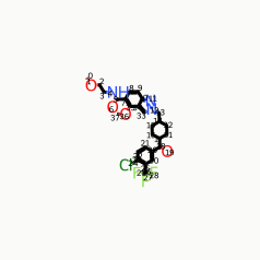 COCCNC(=O)c1ccc2nn(CC3CCC(C(=O)c4ccc(Cl)c(C(F)(F)F)c4)CC3)cc2c1OC